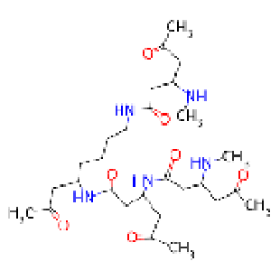 CNC(CC(C)=O)CC(=O)NCCCCC(CC(C)=O)NC(=O)CC(CC(C)=O)NC(=O)CC(CC(C)=O)NC